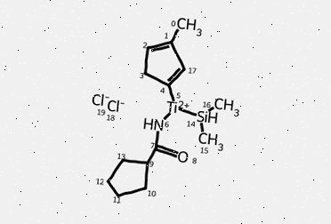 CC1=CC[C]([Ti+2]([NH]C(=O)C2CCCC2)[SiH](C)C)=C1.[Cl-].[Cl-]